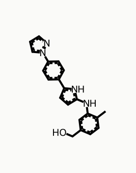 Cc1ccc(CO)cc1Nc1ccc(-c2ccc(-n3cccn3)cc2)[nH]1